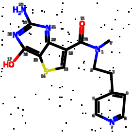 CN(CCc1ccncc1)C(=O)c1csc2c(O)nc(N)nc12